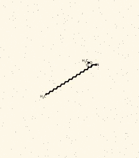 C=CCCCCCCCCCCCCCCCCCCCCCC(C=[C]C#N)OC(C)=O